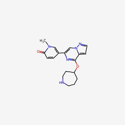 Cn1cc(-c2cn3nccc3c(OC3CCCNCC3)n2)ccc1=O